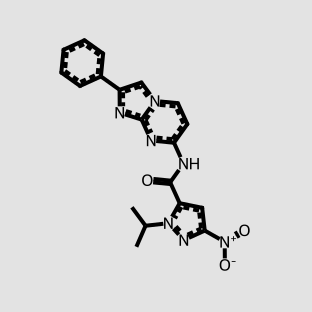 CC(C)n1nc([N+](=O)[O-])cc1C(=O)Nc1ccn2cc(-c3ccccc3)nc2n1